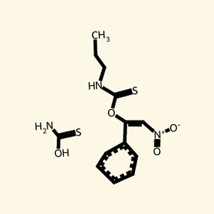 CCCNC(=S)OC(=C[N+](=O)[O-])c1ccccc1.NC(O)=S